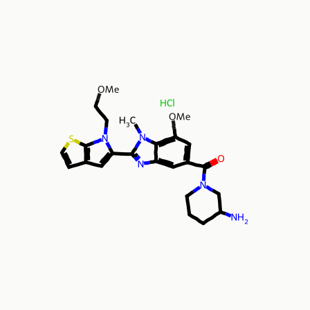 COCCn1c(-c2nc3cc(C(=O)N4CCCC(N)C4)cc(OC)c3n2C)cc2ccsc21.Cl